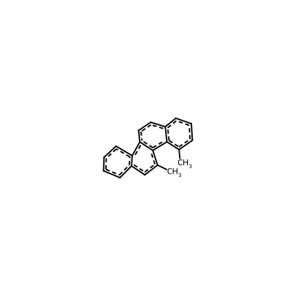 Cc1cccc2ccc3c4ccccc4cc(C)c3c12